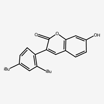 CCC(C)c1ccc(-c2cc3ccc(O)cc3oc2=O)c(C(C)CC)c1